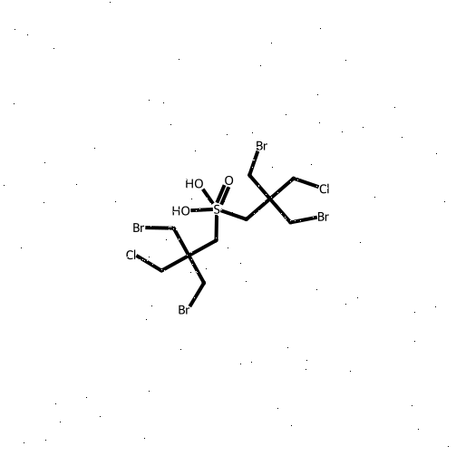 O=S(O)(O)(CC(CCl)(CBr)CBr)CC(CCl)(CBr)CBr